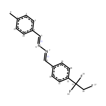 Cc1ccc(/C=N/N=C/c2ccc(C(F)(F)CF)cc2)cc1